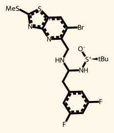 CSc1nc2nc(CNC(Cc3cc(F)cc(F)c3)N[S@@+]([O-])C(C)(C)C)c(Br)cc2s1